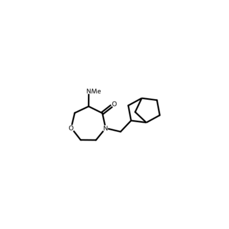 CNC1COCCN(CC2CC3CCC2C3)C1=O